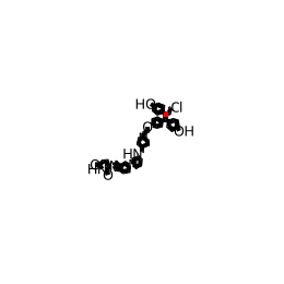 O=C1CCC(N2Cc3ccc(N4CCC[C@@H](NCC5CCN(CCOc6ccc(C(=C(CCCl)c7ccc(O)cc7)c7ccc(O)cc7)cc6)CC5)C4)cc3C2)C(=O)N1